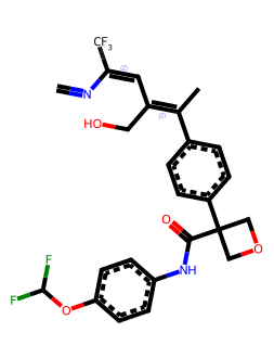 C=N/C(=C\C(CO)=C(/C)c1ccc(C2(C(=O)Nc3ccc(OC(F)F)cc3)COC2)cc1)C(F)(F)F